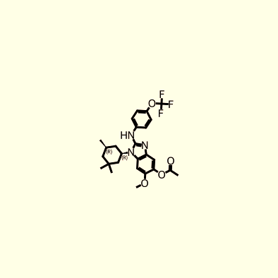 COc1cc2c(cc1OC(C)=O)nc(Nc1ccc(OC(F)(F)F)cc1)n2[C@@H]1C[C@H](C)CC(C)(C)C1